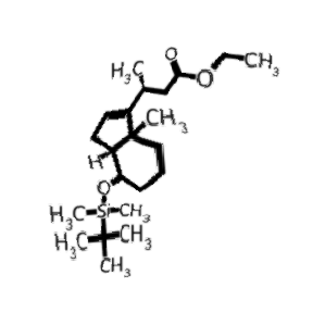 CCOC(=O)C[C@H](C)C1=CC[C@H]2C(O[Si](C)(C)C(C)(C)C)CCCC12C